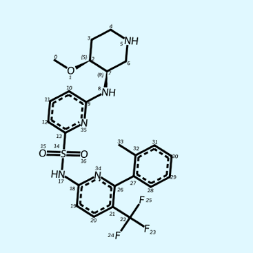 CO[C@H]1CCNC[C@H]1Nc1cccc(S(=O)(=O)Nc2ccc(C(F)(F)F)c(-c3ccccc3C)n2)n1